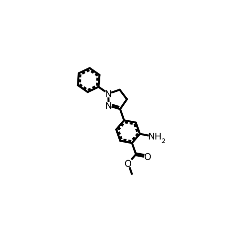 COC(=O)c1ccc(C2=NN(c3ccccc3)CC2)cc1N